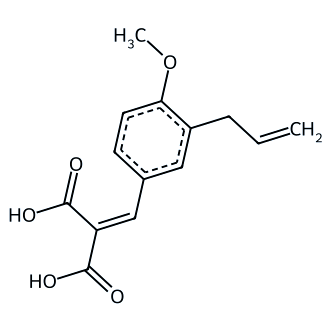 C=CCc1cc(C=C(C(=O)O)C(=O)O)ccc1OC